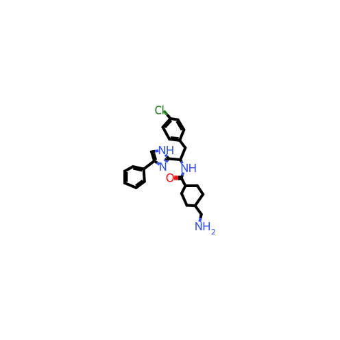 NCC1CCC(C(=O)NC(Cc2ccc(Cl)cc2)c2nc(-c3ccccc3)c[nH]2)CC1